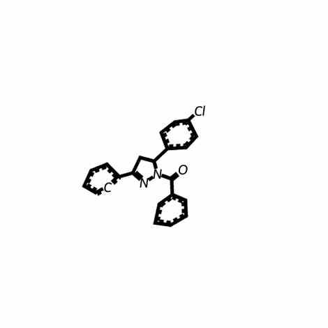 O=C(c1ccccc1)N1N=C(c2ccccc2)CC1c1ccc(Cl)cc1